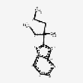 CCCC(C)(CC)c1nc2cccnc2o1